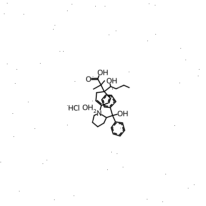 CCCC(O)C1(C(C)(C)C(=O)O)C=CC(N2CCCCC2C(O)(c2ccccc2)c2ccccc2)=CC1.Cl.O